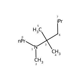 CCCN(C)C(C)(C)CC(C)C